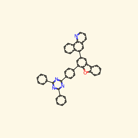 c1ccc(-c2nc(-c3ccccc3)nc(-c3ccc(-c4cc(-c5cc6cccnc6c6ccccc56)cc5c4oc4ccccc45)cc3)n2)cc1